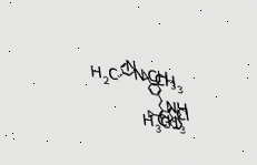 C=Cc1ccnc(N2CC(C)(c3ccc(CC/C(C(=N)c4c(C)cccc4Cl)=C(/C)C4CC4)cc3C)C2)c1